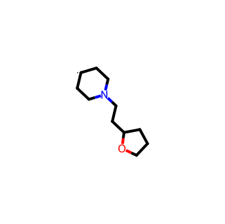 [CH]1CCN(CCC2CCCO2)CC1